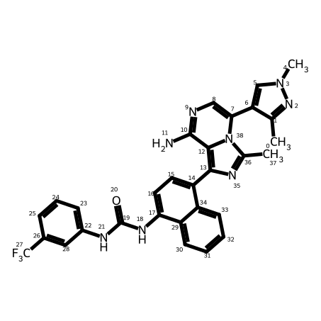 Cc1nn(C)cc1-c1cnc(N)c2c(-c3ccc(NC(=O)Nc4cccc(C(F)(F)F)c4)c4ccccc34)nc(C)n12